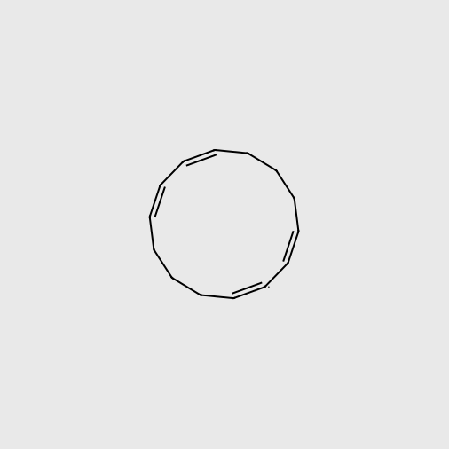 [C]1=CCCCC=CC=CCCCC=C1